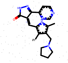 Cc1[nH]c(/C=C2/C(=O)NN=C2c2ccncn2)c(C(C)C)c1CN1CCCC1